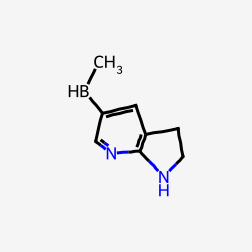 CBc1cnc2c(c1)CCN2